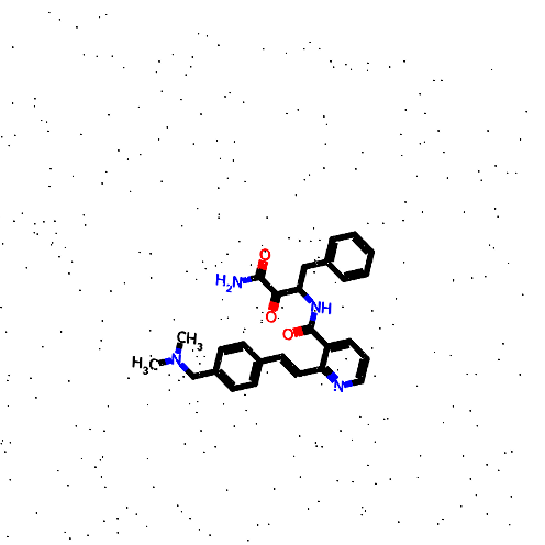 CN(C)Cc1ccc(C=Cc2ncccc2C(=O)NC(Cc2ccccc2)C(=O)C(N)=O)cc1